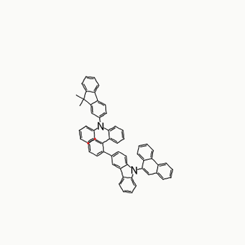 CC1(C)c2ccccc2-c2ccc(N(c3ccccc3)c3ccccc3-c3ccccc3-c3ccc4c(c3)c3ccccc3n4-c3cc4ccccc4c4ccccc34)cc21